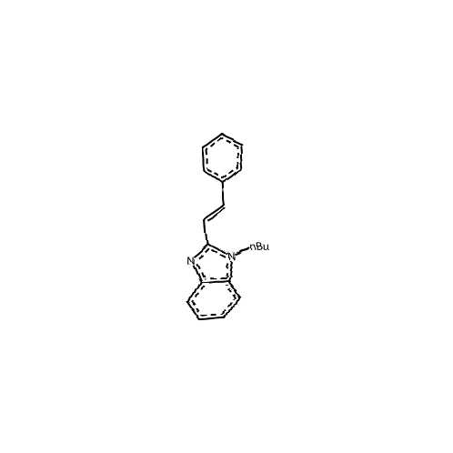 CCCCn1c(/C=C/c2ccccc2)nc2ccccc21